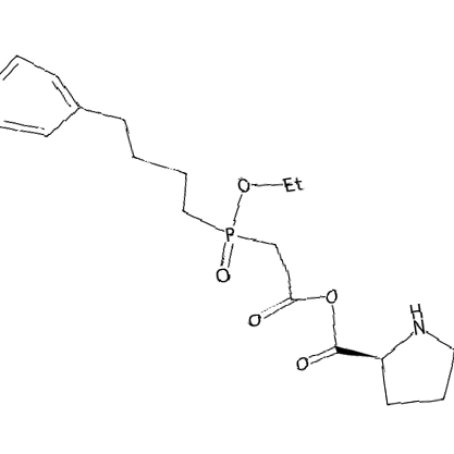 CCOP(=O)(CCCCc1ccccc1)CC(=O)OC(=O)[C@@H]1CCCN1